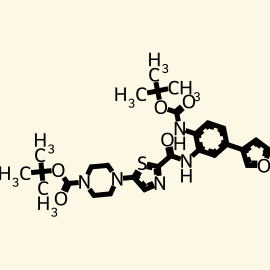 CC(C)(C)OC(=O)Nc1ccc(-c2ccoc2)cc1NC(=O)c1ncc(N2CCN(C(=O)OC(C)(C)C)CC2)s1